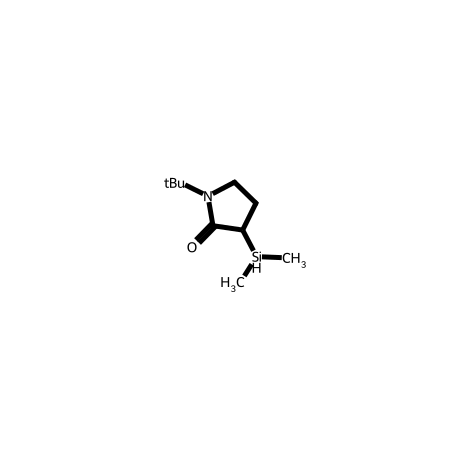 C[SiH](C)C1CCN(C(C)(C)C)C1=O